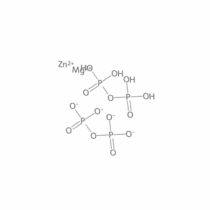 O=P(O)(O)OP(=O)(O)O.O=P([O-])([O-])OP(=O)([O-])[O-].[Mg+2].[Zn+2]